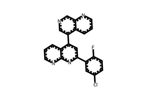 Fc1ccc(Cl)cc1-c1cc(-c2cncc3ncccc23)c2cccnc2n1